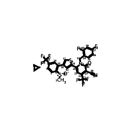 C1CC1.C[S+]([O-])c1ccc(C(F)(F)F)cc1-c1csc(-c2cc(C(F)(F)F)c(C#N)c(=O)n2Cc2ccc(F)cc2F)c1